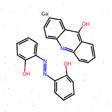 Oc1c2ccccc2nc2ccccc12.Oc1ccccc1N=Nc1ccccc1O.[Ga]